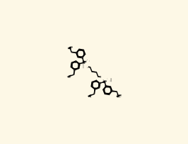 NC(BCCCCBC(N)(c1cccc(CC(F)(F)F)c1)c1cccc(CC(F)(F)F)c1)(c1cccc(CC(F)(F)F)c1)c1cccc(CC(F)(F)F)c1